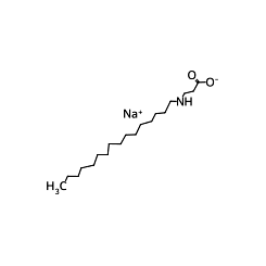 CCCCCCCCCCCCCCCCNCCC(=O)[O-].[Na+]